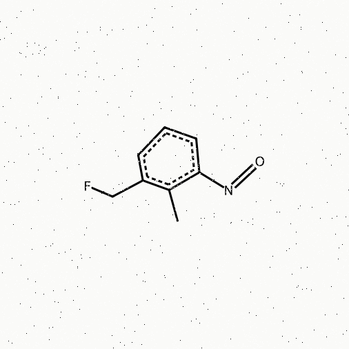 Cc1c(CF)cccc1N=O